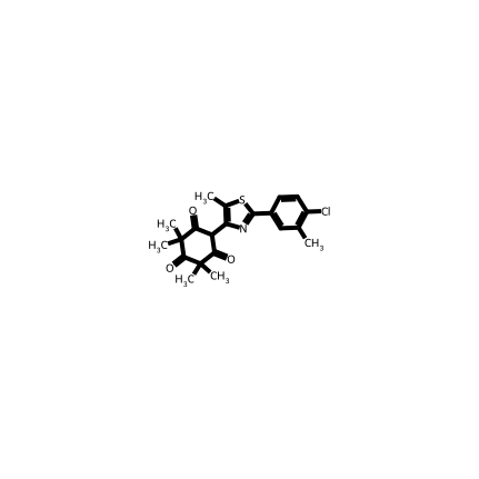 Cc1cc(-c2nc(C3C(=O)C(C)(C)C(=O)C(C)(C)C3=O)c(C)s2)ccc1Cl